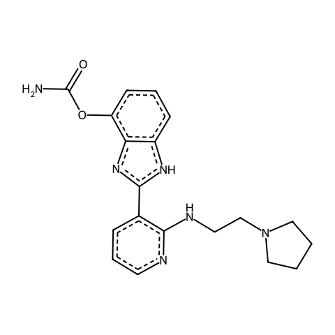 NC(=O)Oc1cccc2[nH]c(-c3cccnc3NCCN3CCCC3)nc12